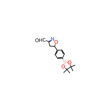 CC1(C)OB(c2ccc(C3CC(C=O)=NO3)cc2)OC1(C)C